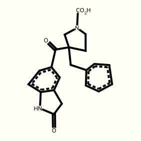 O=C1Cc2cc(C(=O)C3(Cc4ccccc4)CCN(C(=O)O)C3)ccc2N1